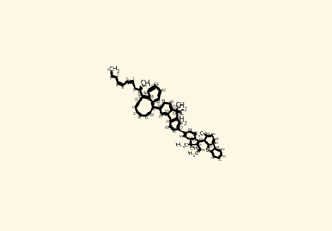 C=CC/C=C\C=C/CC(=C)c1ccccccc(-c2ccc3c(c2)-c2ccc(-c4ccc5c(c4)C(C)(C)C(C=C)=C5c4c(C)ccc5c4sc4ccccc45)cc2C3(C)C)c2ccccc12